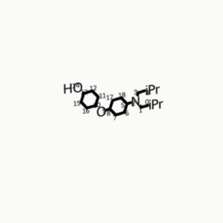 CC(C)CN(CC(C)C)C1CCC(OC2CCC(O)CC2)CC1